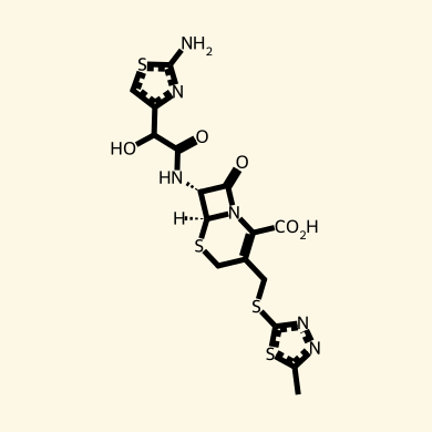 Cc1nnc(SCC2=C(C(=O)O)N3C(=O)[C@@H](NC(=O)C(O)c4csc(N)n4)[C@@H]3SC2)s1